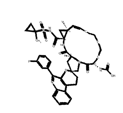 CC1(S(=O)(=O)NC(=O)[C@@]23C[C@H]2C=CCCCCC[C@H](NC(=O)O)C(=O)N2C[C@]4(CCc5c(c(-c6cccc(F)c6)nc6ccccc56)O4)C[C@H]2C(=O)N3)CC1